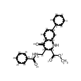 COC(=O)c1[nH]c2cc(-c3ccccc3)ccc2c(=O)c1CNC(=O)c1ccccc1